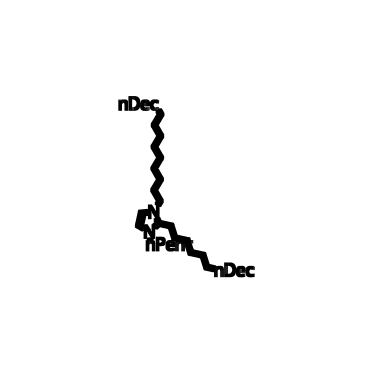 CCCCCCCCCCCCCCCCCCCN1C=CN(CCCCC)C1CCCCCCCCCCCCCCCC